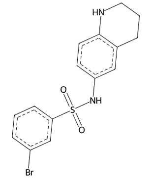 O=S(=O)(Nc1ccc2c(c1)CCCN2)c1cccc(Br)c1